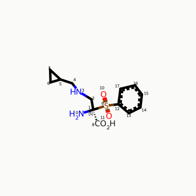 N[C@](CNCC1CC1)(C(=O)O)S(=O)(=O)c1ccccc1